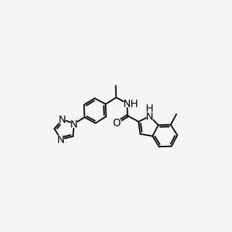 Cc1cccc2cc(C(=O)NC(C)c3ccc(-n4cncn4)cc3)[nH]c12